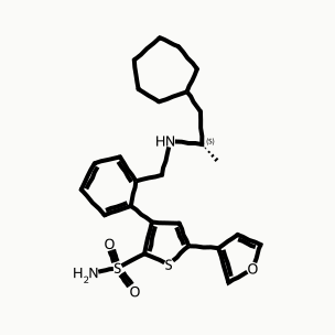 C[C@@H](CC1CCCCCC1)NCc1ccccc1-c1cc(-c2ccoc2)sc1S(N)(=O)=O